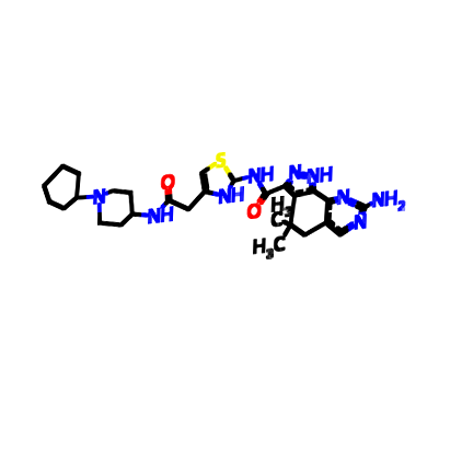 CC1(C)Cc2cnc(N)nc2-c2[nH]nc(C(=O)NC3NC(CC(=O)NC4CCN(C5CCCCC5)CC4)=CS3)c21